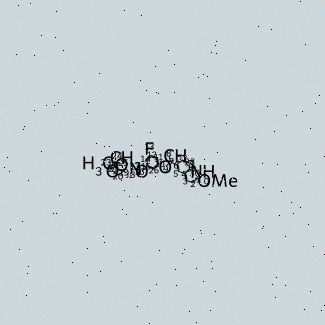 COC1=CC=C2C=C(C(C)Oc3cc(F)cc(O/N=C/[C@@H]4COC(C)(C)O4)c3)C=CC2N1